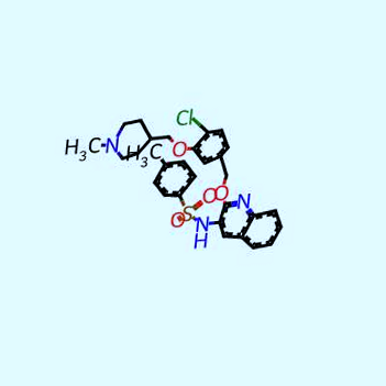 Cc1ccc(S(=O)(=O)Nc2cc3ccccc3nc2OCc2ccc(Cl)c(OCC3CCN(C)CC3)c2)cc1